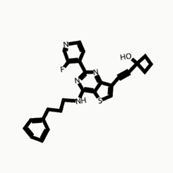 OC1(C#Cc2csc3c(NCCCc4ccccc4)nc(-c4ccncc4F)nc23)CCC1